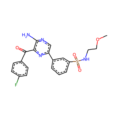 COCCNS(=O)(=O)c1cccc(-c2cnc(N)c(C(=O)c3ccc(F)cc3)n2)c1